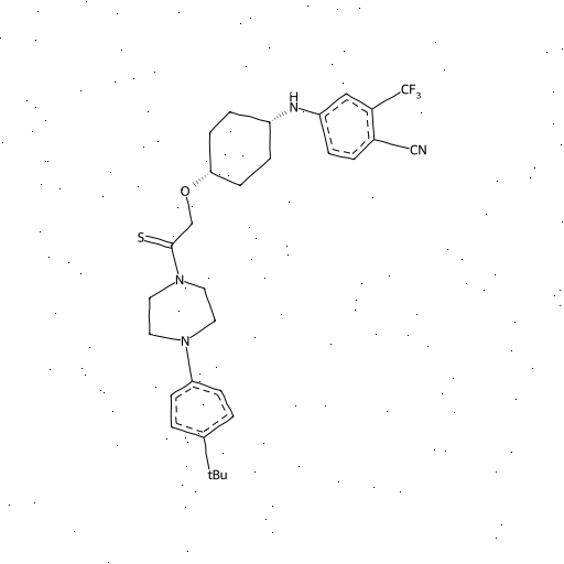 CC(C)(C)c1ccc(N2CCN(C(=S)CO[C@H]3CC[C@@H](Nc4ccc(C#N)c(C(F)(F)F)c4)CC3)CC2)cc1